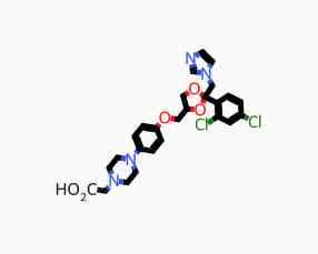 O=C(O)CN1CCN(c2ccc(OCC3COC(Cn4ccnc4)(c4ccc(Cl)cc4Cl)O3)cc2)CC1